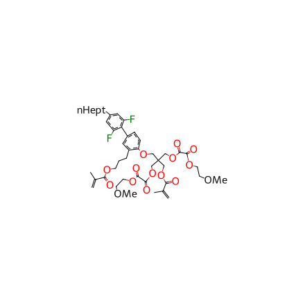 C=C(C)C(=O)OCCCc1cc(-c2c(F)cc(CCCCCCC)cc2F)ccc1OCC(COC(=O)C(=C)C)(COC(=O)C(=O)OCCOC)COC(=O)C(=O)OCCOC